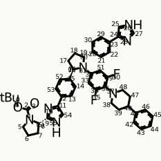 CC(C)(C)OC(=O)N1CCC[C@H]1c1nc(-c2ccc([C@H]3CC[C@H](c4ccc(-c5c[nH]cn5)cc4)N3c3cc(F)c(N4CCC(c5ccccc5)CC4)c(F)c3)cc2)c[nH]1